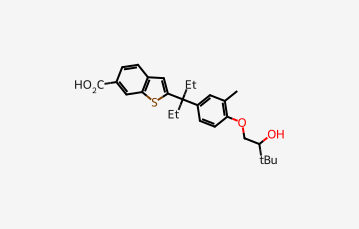 CCC(CC)(c1ccc(OCC(O)C(C)(C)C)c(C)c1)c1cc2ccc(C(=O)O)cc2s1